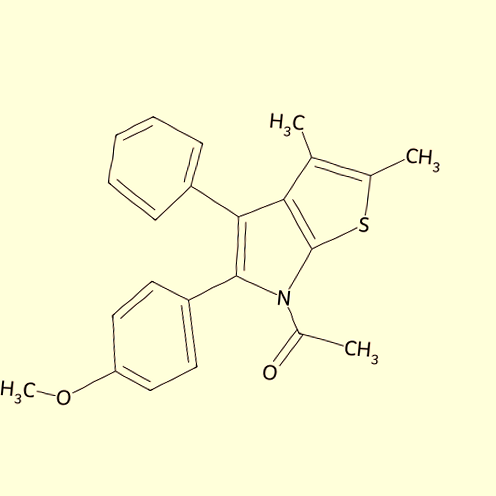 COc1ccc(-c2c(-c3ccccc3)c3c(C)c(C)sc3n2C(C)=O)cc1